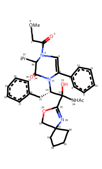 COCC(=O)N1C=C(c2ccccc2)N([C@@H](Cc2ccccc2)C(O)(NC(C)=O)C2=NC3(CCCC3)CO2)C(=O)C1C(C)C